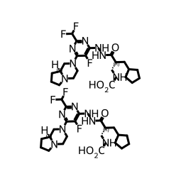 O=C(O)NC[C@@H](CC1CCCC1)C(=O)NNc1nc(C(F)F)nc(N2CCN3CCC[C@H]3C2)c1F.O=C(O)NC[C@@H](CC1CCCC1)C(=O)NNc1nc(C(F)F)nc(N2CCN3CCC[C@H]3C2)c1F